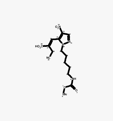 CC(C)(C)OC(=O)NCCCCCn1ncc([N+](=O)[O-])c1C=C(CC#N)C(=O)O